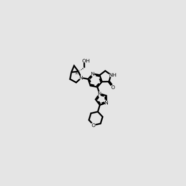 O=C1NCc2nc(N3CCC4C[C@]43CO)cc(-n3cnc(C4CCOCC4)c3)c21